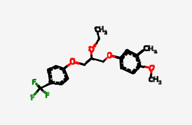 CCOC(COc1ccc(C(F)(F)F)cc1)COc1ccc(OC)c(C)c1